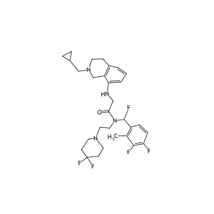 Cc1c(C(F)N(CCN2CCC(F)(F)CC2)C(=O)CNc2cccc3c2CN(CC2CC2)CC3)ccc(F)c1F